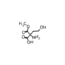 COC(=O)C(N)(CCO)C(=O)O